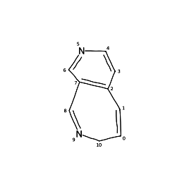 C1=Cc2ccncc2C=NC1